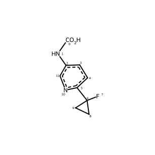 O=C(O)Nc1ccc(C2(F)CC2)nc1